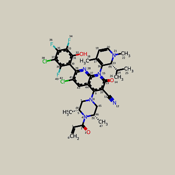 C=CC(=O)N1[C@H](C)CN(c2c(C#N)c(=O)n(C3=C(C)C=CN(C)[C@@H]3C(C)C)c3nc(-c4c(O)c(F)c(F)c(Cl)c4F)c(Cl)cc23)C[C@@H]1C